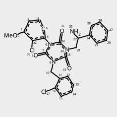 COc1cccc(-n2c(=O)n(Cc3ccccc3Cl)c(=O)n(CC(N)c3ccccc3)c2=O)c1Cl